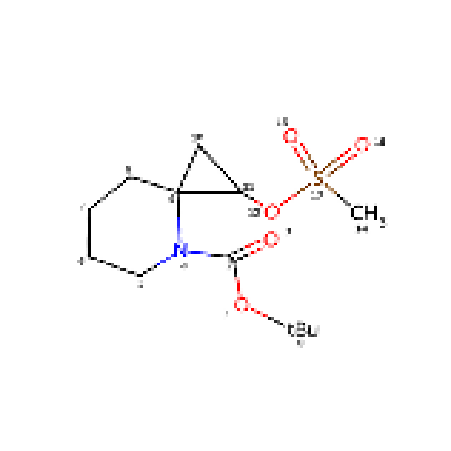 CC(C)(C)OC(=O)N1CCCCC12CC2OS(C)(=O)=O